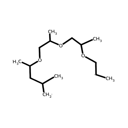 [CH2]C(C)CC(C)OCC(C)OCC(C)OC[CH]C